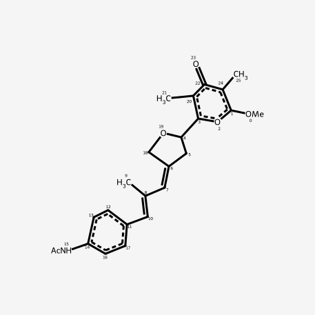 COc1oc(C2C/C(=C/C(C)=C/c3ccc(NC(C)=O)cc3)CO2)c(C)c(=O)c1C